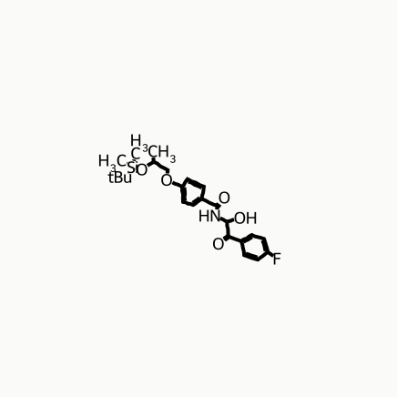 CC(COc1ccc(C(=O)NC(O)C(=O)c2ccc(F)cc2)cc1)O[Si](C)(C)C(C)(C)C